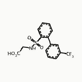 O=C(O)CNS(=O)(=O)c1ccccc1-c1cccc(C(F)(F)F)c1